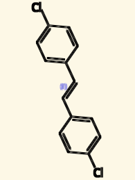 Clc1ccc(/C=C/c2ccc(Cl)cc2)cc1